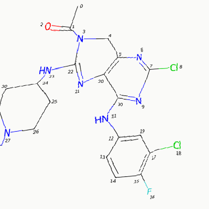 CC(=O)N1Cc2nc(Cl)nc(Nc3ccc(F)c(Cl)c3)c2N=C1NC1CCN(C)CC1